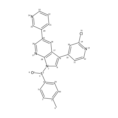 Cc1ccc([S+]([O-])n2cc(-c3ccnc(Cl)c3)c3cc(-c4cccnc4)cnc32)cc1